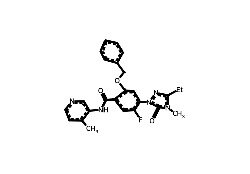 CCc1nn(-c2cc(OCc3ccccc3)c(C(=O)Nc3cnccc3C)cc2F)c(=O)n1C